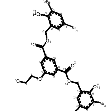 [O]CCOc1cc(C(=O)OCc2cc(Br)cc(Br)c2O)cc(C(=O)OCc2cc(Br)cc(Br)c2O)c1